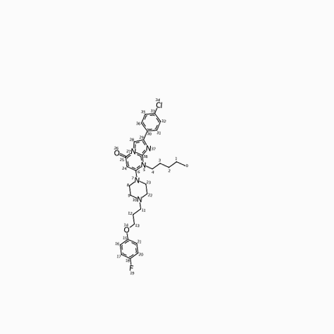 CCCCCn1c(N2CCN(CCCOc3ccc(F)cc3)CC2)cc(=O)n2cc(-c3ccc(Cl)cc3)nc12